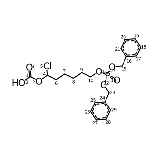 O=C(O)OC(Cl)CCCCCOP(=O)(OCc1ccccc1)OCc1ccccc1